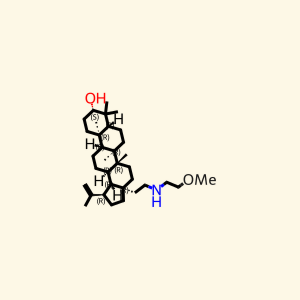 C=C(C)[C@@H]1CC[C@]2(CCNCCOC)CC[C@]3(C)[C@H](CC[C@@H]4[C@@]5(C)CC[C@H](O)C(C)(C)[C@@H]5CC[C@]43C)[C@@H]12